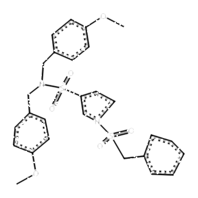 COc1ccc(CN(Cc2ccc(OC)cc2)S(=O)(=O)c2ccn(S(=O)(=O)Cc3ccccc3)c2)cc1